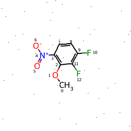 COc1c([N+](=O)[O-])ccc(F)c1F